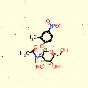 CC(=O)N[C@H]1[C@H](Oc2ccc([N+](=O)[O-])cc2C)O[C@H](CO)[C@@H](O)[C@@H]1O